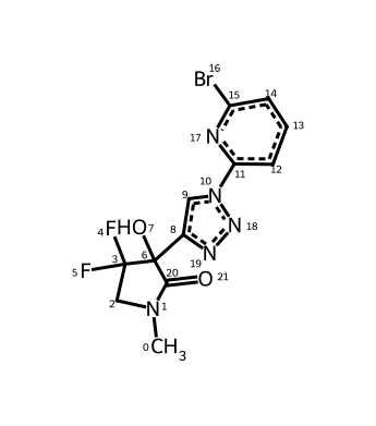 CN1CC(F)(F)C(O)(c2cn(-c3cccc(Br)n3)nn2)C1=O